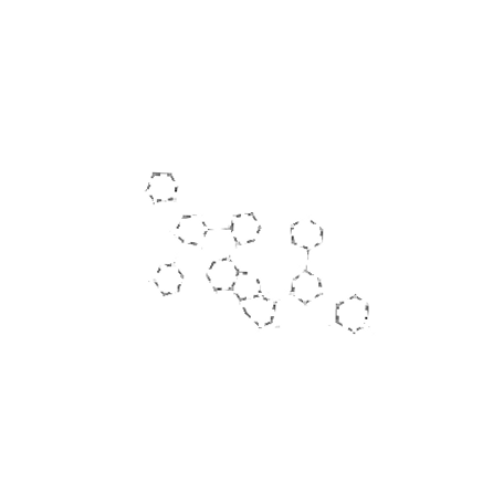 c1ccc(-c2nc(-c3ccccc3)nc(-c3ccccc3-c3cccc4c3oc3c(-c5cc(-c6ccncc6)cc(-c6ccncc6)c5)cccc34)n2)cc1